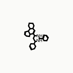 C1=CCCC(C2NC(C3=CC4CCCCC4C4C=CCCC34)CC(C3CC=CCC3)N2)=C1